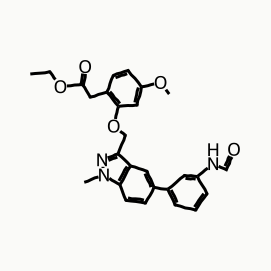 CCOC(=O)Cc1ccc(OC)cc1OCc1nn(C)c2ccc(-c3cccc(NC=O)c3)cc12